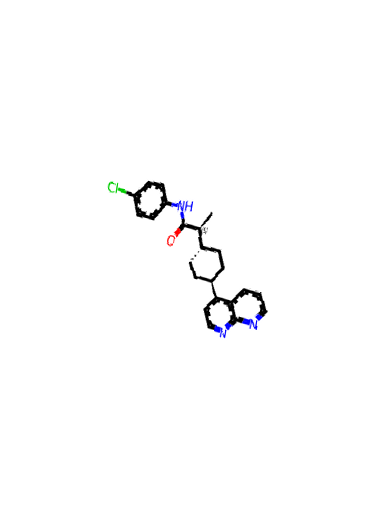 C[C@H](C(=O)Nc1ccc(Cl)cc1)[C@H]1CC[C@H](c2ccnc3ncccc32)CC1